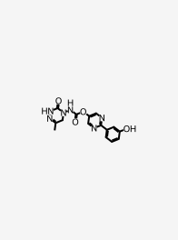 CC1=NNC(=O)N(NC(=O)Oc2cnc(-c3cccc(O)c3)nc2)C1